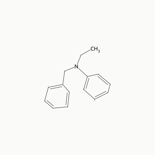 CCN(Cc1ccccc1)c1c[c]ccc1